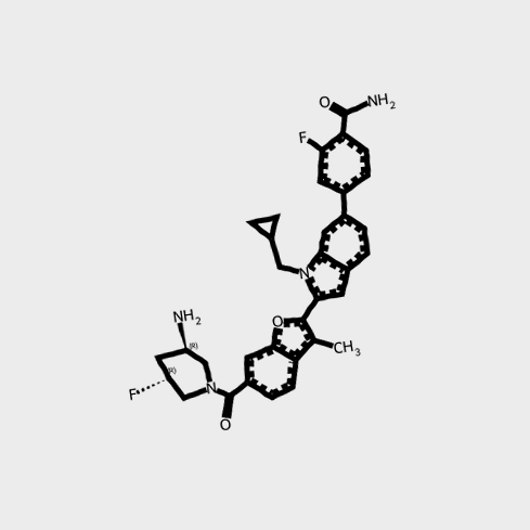 Cc1c(-c2cc3ccc(-c4ccc(C(N)=O)c(F)c4)cc3n2CC2CC2)oc2cc(C(=O)N3C[C@H](N)C[C@@H](F)C3)ccc12